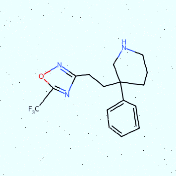 FC(F)(F)c1nc(CCC2(c3ccccc3)CCCNC2)no1